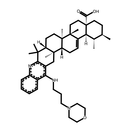 C[C@H]1[C@H](C)CC[C@]2(C(=O)O)CC[C@]3(C)C(=CC[C@@H]4[C@@]5(C)Cc6c(nc7ccccc7c6NCCCN6CCOCC6)C(C)(C)[C@@H]5CC[C@]43C)[C@H]12